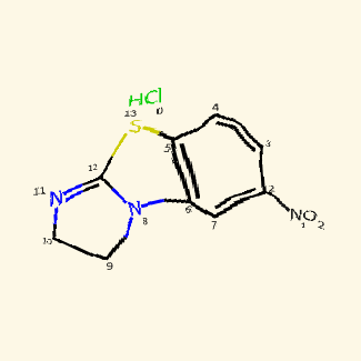 Cl.O=[N+]([O-])c1ccc2c(c1)N1CCN=C1S2